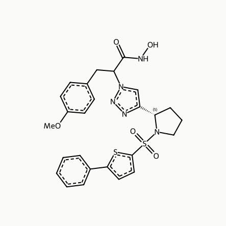 COc1ccc(CC(C(=O)NO)n2cc([C@@H]3CCCN3S(=O)(=O)c3ccc(-c4ccccc4)s3)nn2)cc1